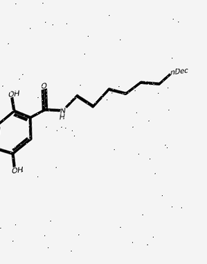 CCCCCCCCCCCCCCCCNC(=O)c1cc(O)ccc1O